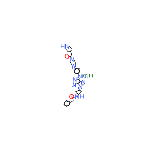 Cl.O=C(Cc1ccccc1)NC1CC(n2cnc3c(Nc4ccc(N5CCN(C(=O)CC6CCNCC6)CC5)cc4)ncnc32)C1